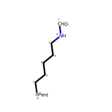 CCCCCCCCCCN[C]=O